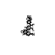 CCC(c1ccc2c(c1)OC(F)(F)O2)N1C[C@H](C)N(c2nc(=O)n(C)c3ccc(C#N)nc23)C[C@H]1CC